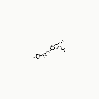 Cc1ccc(-c2nc(COc3ccc(CN(CC=O)C(=O)OCC(C)C)cc3)no2)cc1